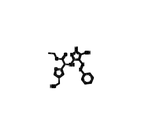 CCOC(=O)C(Nc1n[nH]c(O)c1N=Nc1ccccc1)c1cc(CO)co1